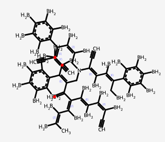 BC/C(=C(B)\C(B)=C(/C#C)N(C/C(B)=C(B)\C(=C(\B)C#C)c1c(B)c(B)c(B)c(B)c1B)C/C(C(=C)C(=C(B)\C(B)=C(\B)C)/C(B)=C(B)/C(B)=C(/B)C#C)=C(\C(B)=C(\B)C#C)c1c(B)c(B)c(B)c(B)c1B)c1c(B)c(B)c(B)c(B)c1B